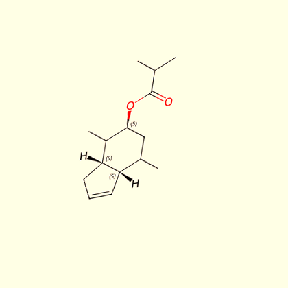 CC(C)C(=O)O[C@H]1CC(C)[C@@H]2C=CC[C@@H]2C1C